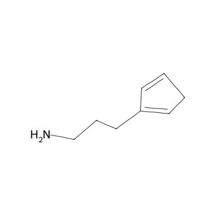 NCCCC1=CCC=C1